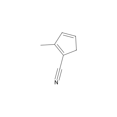 CC1=C(C#N)CC=C1